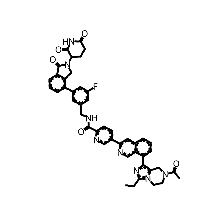 CCc1nc(-c2cccc3cc(-c4ccc(C(=O)NCc5cc(F)cc(-c6cccc7c6CN(C6CCC(=O)NC6=O)C7=O)c5)nc4)ncc23)c2n1CCN(C(C)=O)C2